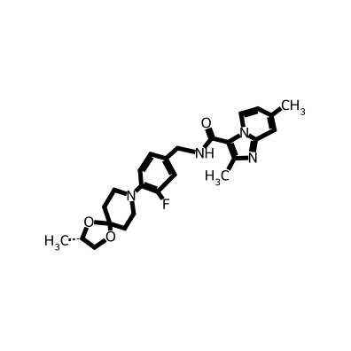 Cc1ccn2c(C(=O)NCc3ccc(N4CCC5(CC4)OC[C@H](C)O5)c(F)c3)c(C)nc2c1